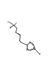 CC(C)(C)CCCCc1ccc(F)cc1